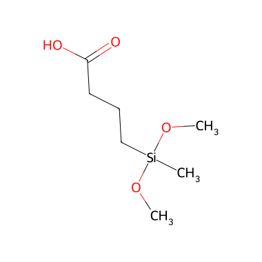 CO[Si](C)(CCCC(=O)O)OC